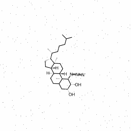 CC(C)CCC[C@@H](C)[C@H]1CC[C@H]2[C@@H]3CCC4C[C@@H](O)[C@@H](O)[C@H](N=[N+]=[N-])[C@]4(C)[C@H]3CC[C@]12C